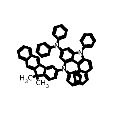 CC1(C)c2ccc(N(c3ccccc3)c3cc(N(c4ccccc4)c4ccccc4)cc4c3c3c5ccccc5ccc3n4-c3ccccc3)cc2-c2cc3ccccc3cc21